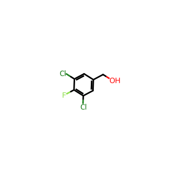 OCc1cc(Cl)c(F)c(Cl)c1